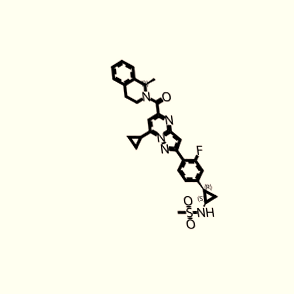 C[C@@H]1c2ccccc2CCN1C(=O)c1cc(C2CC2)n2nc(-c3ccc([C@H]4C[C@@H]4NS(C)(=O)=O)cc3F)cc2n1